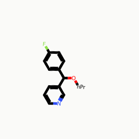 [CH2]CCOC(c1ccc(F)cc1)c1cccnc1